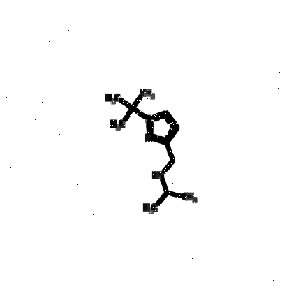 CC(C)NCc1ccn(C(C)(C)C)n1